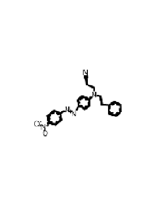 N#CCCN(CCc1ccccc1)c1ccc(N=Nc2ccc([N+](=O)[O-])cc2)cc1